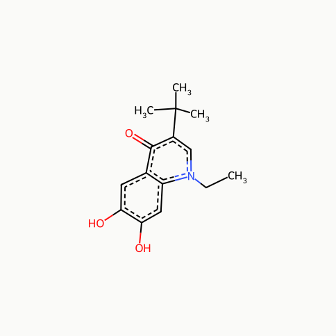 CCn1cc(C(C)(C)C)c(=O)c2cc(O)c(O)cc21